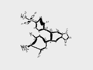 Cc1c(F)cc(-c2cc3c(cc2-c2ccc(S(N)(=O)=O)cc2)OCO3)cc1F